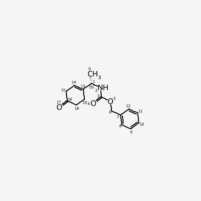 C[C@H](NC(=O)OCc1ccccc1)C1=CCC(=O)CC1